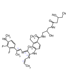 C\C=C/N=C(Nc1ccc(C(=O)NCC(O)CNC(=O)CC(O)CC)c(CC)c1)\C(C)=N\C=C(/C)c1ccc(NC)c(F)c1F